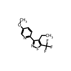 CCc1c(-c2ccc(OC)cn2)nsc1C(F)(F)F